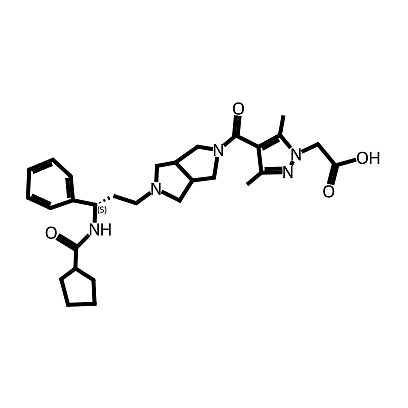 Cc1nn(CC(=O)O)c(C)c1C(=O)N1CC2CN(CC[C@H](NC(=O)C3CCCC3)c3ccccc3)CC2C1